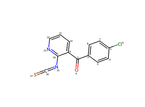 O=C(c1ccc(Cl)cc1)c1cccnc1N=C=S